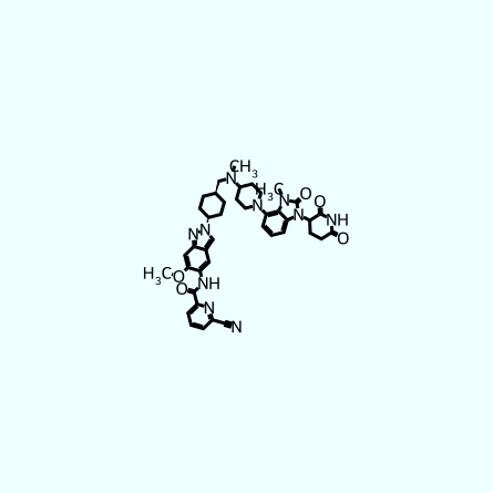 COc1cc2nn([C@H]3CC[C@H](CN(C)C4CCN(c5cccc6c5n(C)c(=O)n6C5CCC(=O)NC5=O)CC4)CC3)cc2cc1NC(=O)c1cccc(C#N)n1